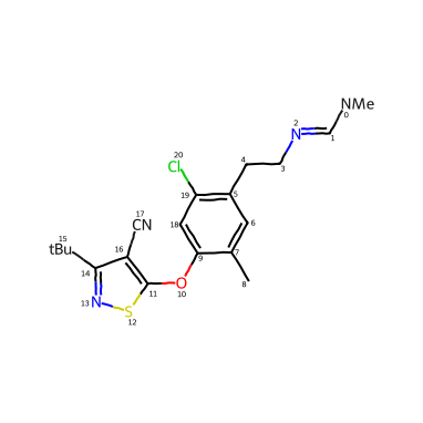 CNC=NCCc1cc(C)c(Oc2snc(C(C)(C)C)c2C#N)cc1Cl